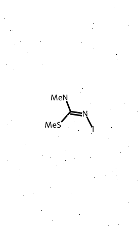 CNC(=NI)SC